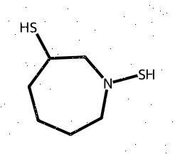 SC1CCCCN(S)C1